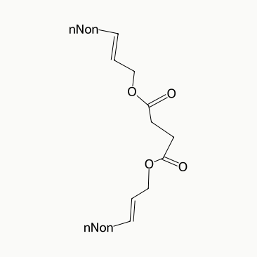 CCCCCCCCCC=CCOC(=O)CCC(=O)OCC=CCCCCCCCCC